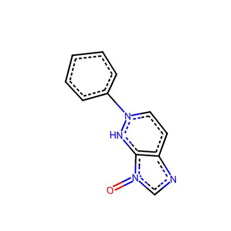 O=[n+]1cnc2ccn(-c3ccccc3)[nH]c1=2